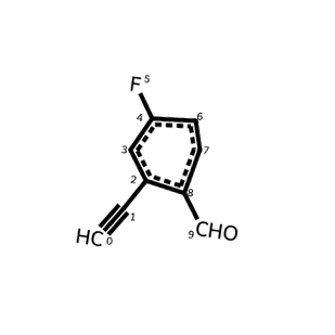 C#Cc1cc(F)ccc1C=O